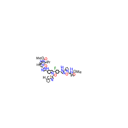 COC(=O)N[C@H](C(=O)N1CCC[C@H]1c1ncc(-c2cc(F)c3c(c2)OC(c2cnc(C4(C)CCCC4)s2)n2c-3cc3cc(-c4cnc([C@@H]5C[C@H]6C[C@H]6N5C(=O)[C@@H](NC(=O)OC)C(C)C)[nH]4)ccc32)[nH]1)C(C)C